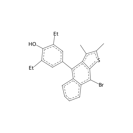 CCc1cc(-c2c3ccccc3c(Br)c3sc(C)c(C)c23)cc(CC)c1O